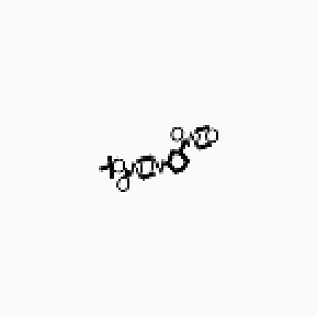 CC(C)(C)OC(=O)N1CCN(C2CCCC(C(=O)N3CCOCC3)C2)CC1